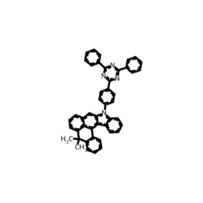 CC1(C)c2ccccc2-c2c3c1cccc3cc1c2c2ccccc2n1-c1ccc(-c2nc(-c3ccccc3)nc(-c3ccccc3)n2)cc1